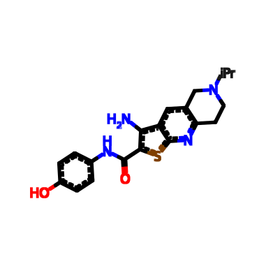 CC(C)N1CCc2nc3sc(C(=O)Nc4ccc(O)cc4)c(N)c3cc2C1